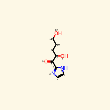 O=C(c1ncc[nH]1)C(O)CCCO